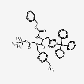 COc1ccc(CN(CC(=O)OC(C)(C)C)C(=O)[C@H](Cc2cn(C(c3ccccc3)(c3ccccc3)c3ccccc3)cn2)NC(=O)OCc2ccccc2)cc1